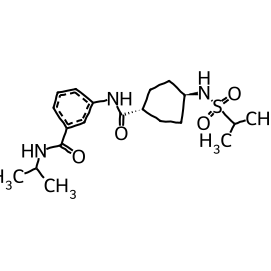 CC(C)NC(=O)c1cccc(NC(=O)[C@H]2CC[C@H](NS(=O)(=O)C(C)C)CC2)c1